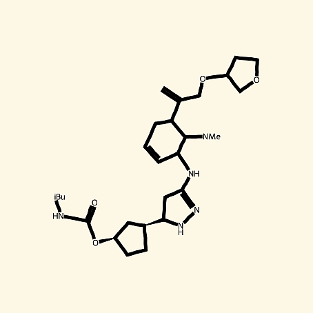 C=C(COC1CCOC1)C1CC=CC(NC2=NNC([C@H]3CC[C@@H](OC(=O)NC(C)CC)C3)C2)C1NC